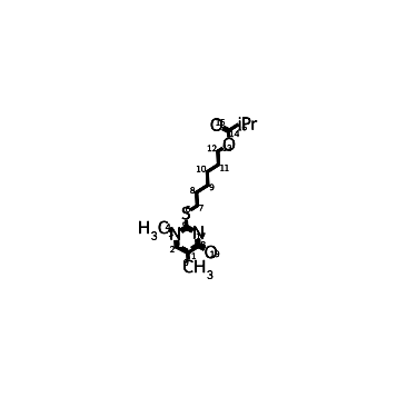 Cc1cn(C)c(SCCCCCCOC(=O)C(C)C)nc1=O